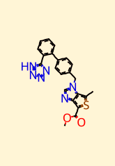 COC(=O)c1sc(C)c2c1ncn2Cc1ccc(-c2ccccc2-c2nnn[nH]2)cc1